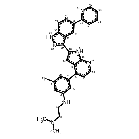 CN(C)CCNc1cc(F)cc(-c2ccnc3[nH]c(-c4n[nH]c5cnc(-c6ccccn6)cc45)cc23)c1